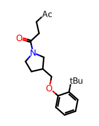 CC(=O)CCC(=O)N1CCC(COc2ccccc2C(C)(C)C)C1